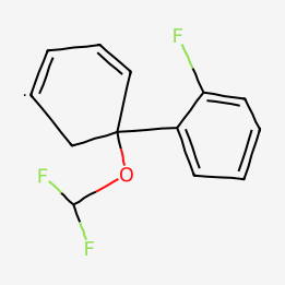 Fc1ccccc1C1(OC(F)F)C=CC=[C]C1